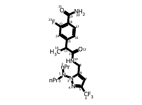 CCCN(CCC)n1nc(C(F)(F)F)cc1CNC(=O)C(C)c1ccc(C(N)=O)c(F)c1